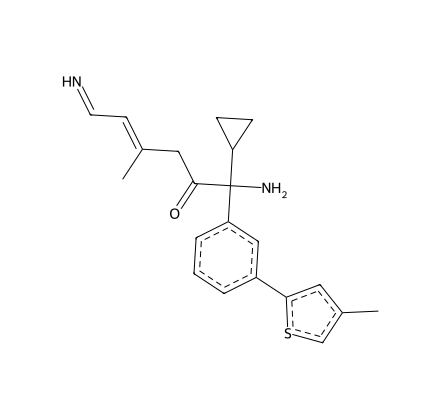 C/C(=C\C=N)CC(=O)C(N)(c1cccc(-c2cc(C)cs2)c1)C1CC1